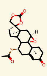 CC(=O)S[C@@H]1CC2=CC(=O)CC[C@]2(C)[C@@]23O[C@@H]2C[C@@]2(C)C(CC[C@@]24COC(=O)O4)C13